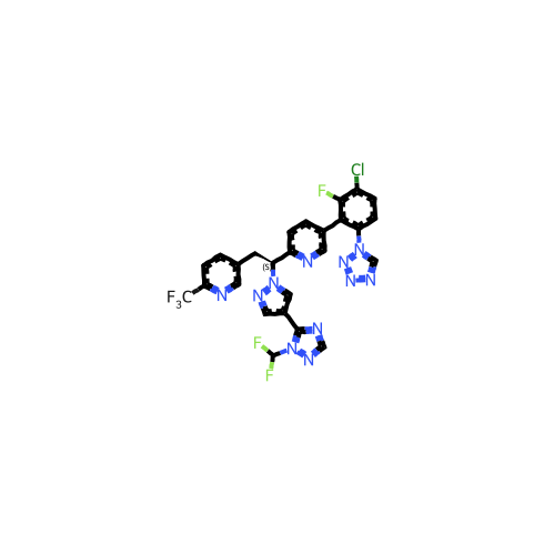 Fc1c(Cl)ccc(-n2cnnn2)c1-c1ccc([C@H](Cc2ccc(C(F)(F)F)nc2)n2cc(-c3ncnn3C(F)F)cn2)nc1